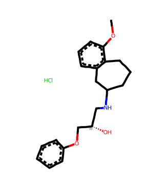 COc1cccc2c1CCCC(NC[C@H](O)COc1ccccc1)C2.Cl